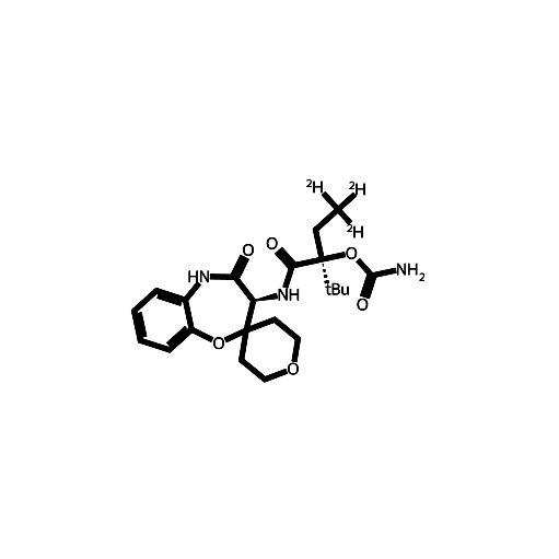 [2H]C([2H])([2H])C[C@@](OC(N)=O)(C(=O)N[C@@H]1C(=O)Nc2ccccc2OC12CCOCC2)C(C)(C)C